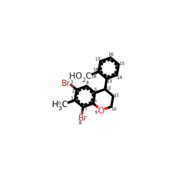 Cc1c(Br)cc2c(c1Br)OCCC2c1ccccc1C(=O)O